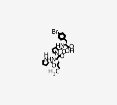 CCCC[C@H](NC(=O)[C@@H]1CCCN1)C(=O)N1CCC[C@H]1C(=O)N[C@@H](Cc1ccc(Br)cc1)C(=O)O